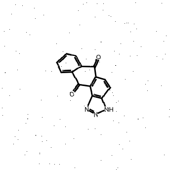 O=C1c2ccccc2C(=O)c2c1ccc1[nH]nnc21